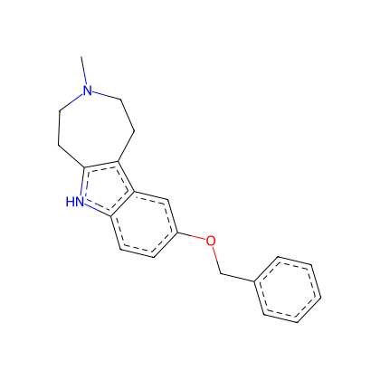 CN1CCc2[nH]c3ccc(OCc4ccccc4)cc3c2CC1